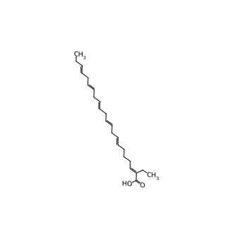 CC/C=C/C/C=C/C/C=C/C/C=C/C/C=C/CCC/C=C(\CC)C(=O)O